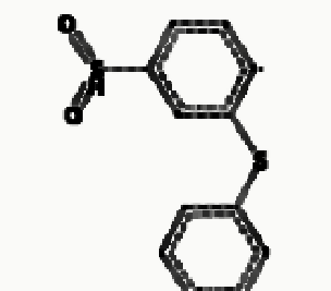 O=[SH](=O)c1cc[c]c(Sc2ccccc2)c1